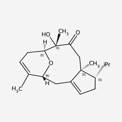 CC1=CC[C@@H]2O[C@@H]1CC1=CC[C@@H](C(C)C)[C@]1(C)CC(=O)[C@@]2(C)O